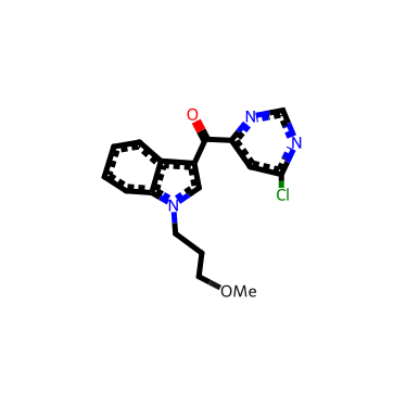 COCCCn1cc(C(=O)c2cc(Cl)ncn2)c2ccccc21